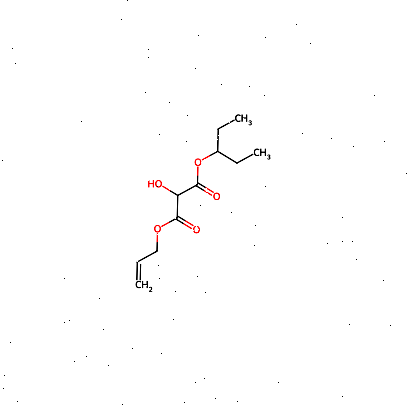 C=CCOC(=O)C(O)C(=O)OC(CC)CC